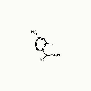 CCC(C(=O)O)c1ccc(C)cc1F